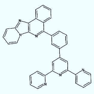 c1ccc(-c2cc(-c3cccc(-c4nc5c(nc6ccccn65)c5ccccc45)c3)cc(-c3ccccn3)n2)nc1